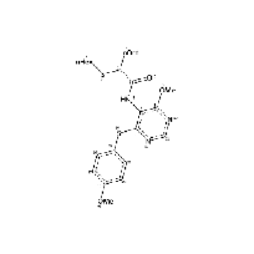 CCCCCCCCC(SCCCCCC)C(=O)Nc1c(OC)ncnc1Sc1ccc(OC)cc1